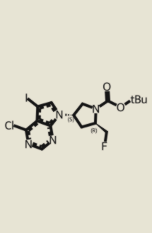 CC(C)(C)OC(=O)N1C[C@@H](n2cc(I)c3c(Cl)ncnc32)C[C@@H]1CF